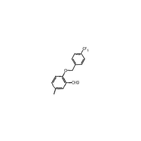 Cc1ccc(OCc2ccc(C(F)(F)F)cc2)c(C=O)c1